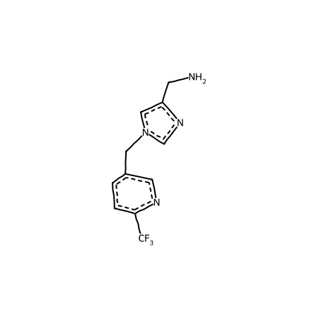 NCc1cn(Cc2ccc(C(F)(F)F)nc2)cn1